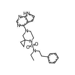 CCN(CCc1ccccc1)S(=O)(=O)N1CCN(c2ncnc3[nH]ccc23)CC12CC2